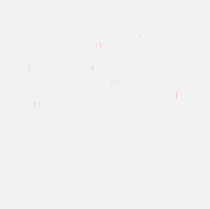 CCCCCCC(C(=O)O)C(O)C(=O)O.O=C(O)CC(O)C(=O)O